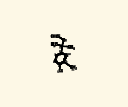 CCc1ccc(C(C)(C)OC=O)nc1C